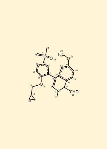 CN1C=C(c2cc(S(C)(=O)=O)ccc2OCC2CC2)c2cc(OC(F)(F)F)ccc2C1C=O